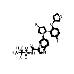 CC(C)(C)S(=O)(=O)NC(=O)c1cnc2ccc(N3C[C@@H](F)C[C@@H]3c3cc(F)ccc3OC3CCOC3)cn12